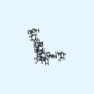 C=C(C)[C@@H]1CC[C@]2(NC(=O)NCCCn3cccc3C)CC[C@]3(C)[C@H](CC[C@@H]4[C@@]5(C)CC=C(c6ccc(C(=O)O)cc6)C(C)(C)[C@@H]5CC[C@]43C)[C@@H]12